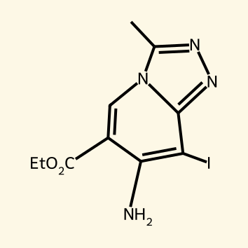 CCOC(=O)c1cn2c(C)nnc2c(I)c1N